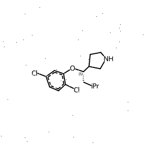 CC(C)C[C@H](Oc1cc(Cl)ccc1Cl)C1CCNC1